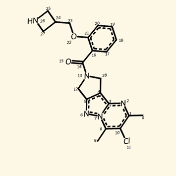 Cc1nc2c3c(nn2c(C)c1Cl)CN(C(=O)c1ccccc1OCC1CNC1)C3